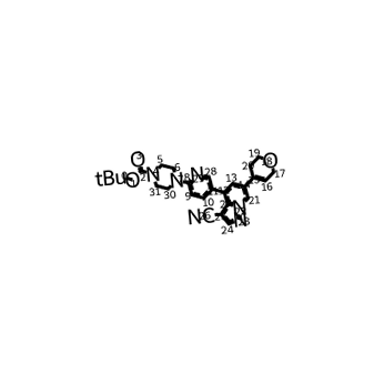 CC(C)(C)OC(=O)N1CCN(c2ccc(-c3cc(C4=CCOCC4)cn4ncc(C#N)c34)cn2)CC1